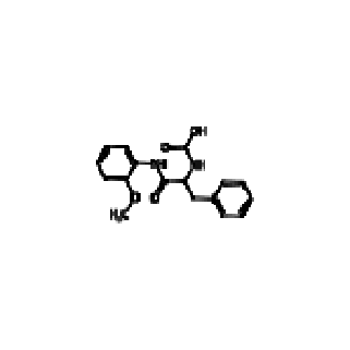 COc1ccccc1NC(=O)C(Cc1ccccc1)NC(=O)O